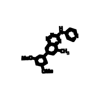 COc1cc(OC)cc(-c2cc(C)c3nc(Nc4ccncc4)nnc3c2)c1